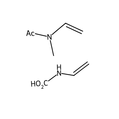 C=CN(C)C(C)=O.C=CNC(=O)O